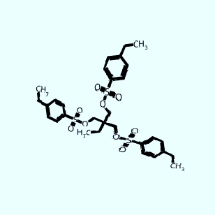 CCc1ccc(S(=O)(=O)OCC(CC)(COS(=O)(=O)c2ccc(CC)cc2)COS(=O)(=O)c2ccc(CC)cc2)cc1